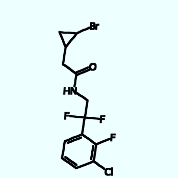 O=C(CC1CC1Br)NCC(F)(F)c1cccc(Cl)c1F